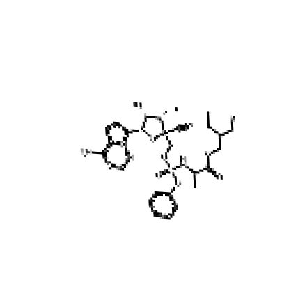 CCC(CC)COC(=O)C(C)NP(=O)(OC[C@@]1(C#N)O[C@@H](c2ccc3c(N)ncnn23)[C@H](O)[C@@H]1O)Oc1ccccc1